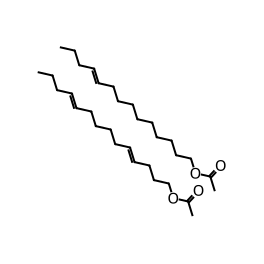 CCCC=CCCCCC=CCCCOC(C)=O.CCCC=CCCCCCCCCCOC(C)=O